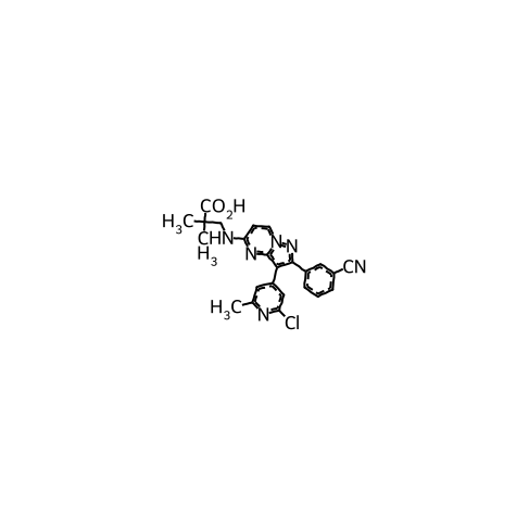 Cc1cc(-c2c(-c3cccc(C#N)c3)nn3ccc(NCC(C)(C)C(=O)O)nc23)cc(Cl)n1